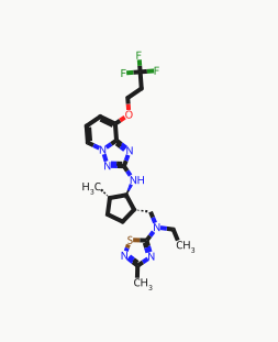 CCN(C[C@@H]1CC[C@H](C)[C@H]1Nc1nc2c(OCCC(F)(F)F)cccn2n1)c1nc(C)ns1